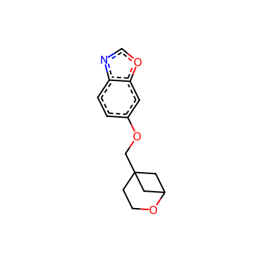 c1nc2ccc(OCC34CCOC(C3)C4)cc2o1